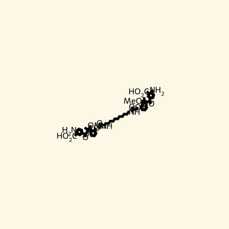 COc1c(C)c(C(=O)c2ccc(N)c(C(=O)O)c2)n2cccc(OCC(=O)NCCCCCCCCCCCNC(=O)COc3cccn4c(C(=O)c5ccc(N)c(C(=O)O)c5)c(C)c(OC)c34)c12